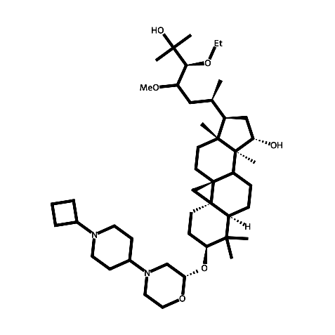 CCO[C@@H](C(C[C@@H](C)[C@H]1C[C@H](O)[C@@]2(C)C3CC[C@H]4C(C)(C)[C@@H](O[C@H]5CN(C6CCN(C7CCC7)CC6)CCO5)CC[C@@]45C[C@@]35CC[C@]12C)OC)C(C)(C)O